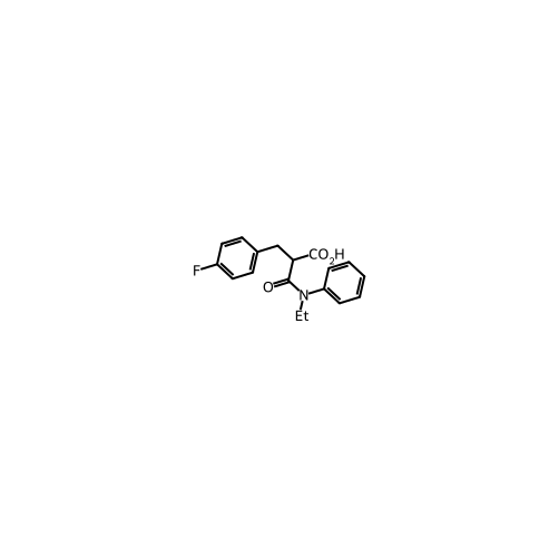 CCN(C(=O)C(Cc1ccc(F)cc1)C(=O)O)c1ccccc1